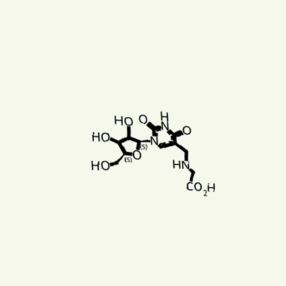 O=C(O)CNCc1cn([C@H]2O[C@@H](CO)C(O)C2O)c(=O)[nH]c1=O